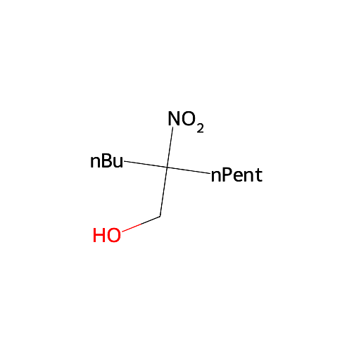 CCCCCC(CO)(CCCC)[N+](=O)[O-]